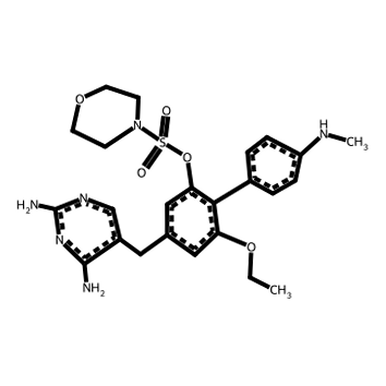 CCOc1cc(Cc2cnc(N)nc2N)cc(OS(=O)(=O)N2CCOCC2)c1-c1ccc(NC)cc1